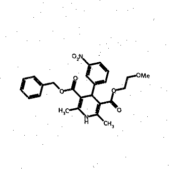 COCCOC(=O)C1=C(C)NC(C)=C(C(=O)OCc2ccccc2)C1c1cccc([N+](=O)[O-])c1